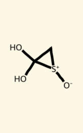 [O-][S+]1CC1(O)O